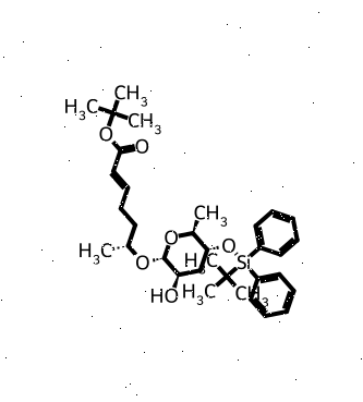 C[C@H](CC/C=C/C(=O)OC(C)(C)C)O[C@@H]1O[C@@H](C)[C@H](O[Si](c2ccccc2)(c2ccccc2)C(C)(C)C)C[C@H]1O